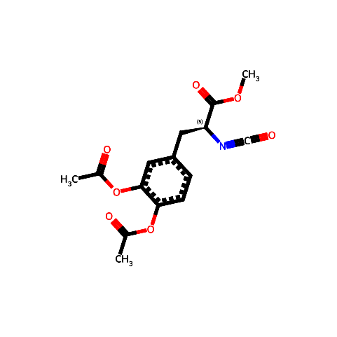 COC(=O)[C@H](Cc1ccc(OC(C)=O)c(OC(C)=O)c1)N=C=O